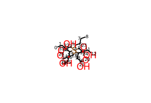 CCCCS(CCCC)(CCCC)(CCCC)(C(CC(=O)O)C(=O)O)C(CC(=O)O)C(=O)O